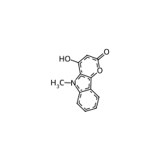 Cn1c2ccccc2c2oc(=O)cc(O)c21